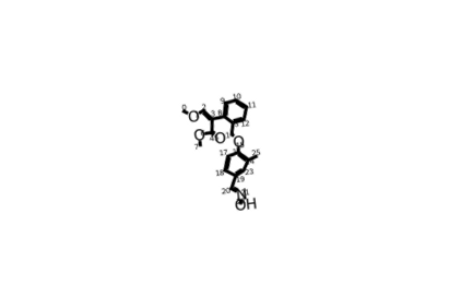 CO/C=C(\C(=O)OC)c1ccccc1COc1ccc(/C=N/O)cc1C